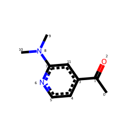 CC(=O)c1ccnc(N(C)C)c1